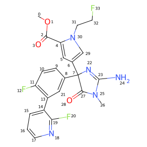 COC(=O)c1cc(C2(c3ccc(F)c(-c4cccnc4F)c3)N=C(N)N(C)C2=O)cn1CCF